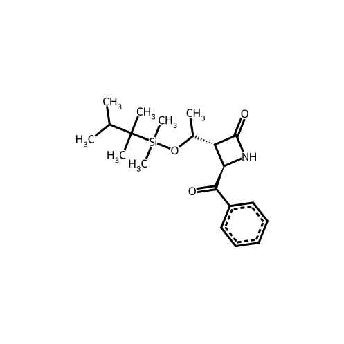 CC(O[Si](C)(C)C(C)(C)C(C)C)[C@@H]1C(=O)N[C@H]1C(=O)c1ccccc1